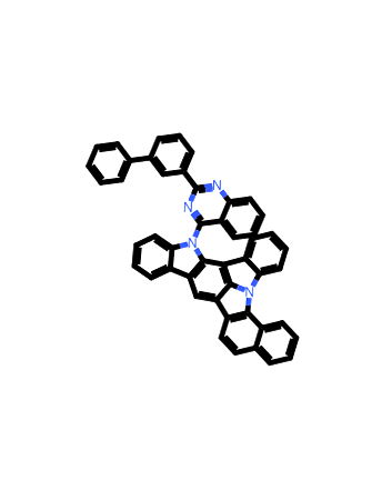 c1ccc(-c2cccc(-c3nc(-n4c5ccccc5c5cc6c7ccc8ccccc8c7n7c8ccccc8c(c54)c67)c4ccccc4n3)c2)cc1